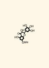 COc1cc(O)c2c(c1)OC(c1cc(O)c(O)c(O)c1)C(O)C2=O